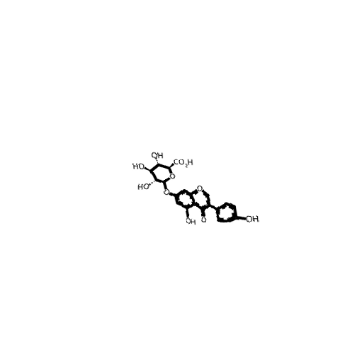 O=C(O)[C@H]1OC(Oc2cc(O)c3c(=O)c(-c4ccc(O)cc4)coc3c2)[C@H](O)[C@@H](O)[C@@H]1O